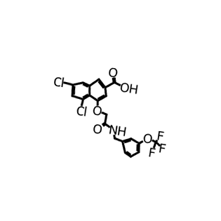 O=C(COc1cc(C(=O)O)cc2cc(Cl)cc(Cl)c12)NCc1cccc(OC(F)(F)F)c1